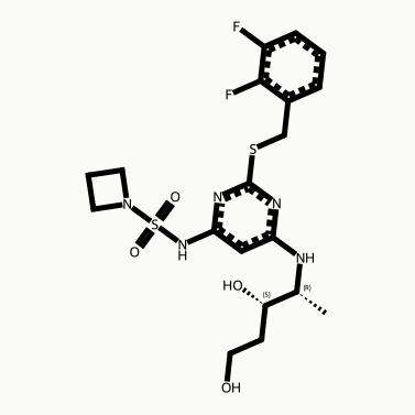 C[C@@H](Nc1cc(NS(=O)(=O)N2CCC2)nc(SCc2cccc(F)c2F)n1)[C@@H](O)CCO